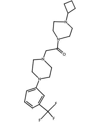 O=C(CN1CCN(c2cc[c]c(C(F)(F)F)c2)CC1)N1CCN(C2CCC2)CC1